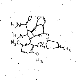 COc1ccc(C)c(-n2c(N)c(C(N)=O)c3c4occc4c(O[C@H]4CCCN(C)C4)nc32)c1C